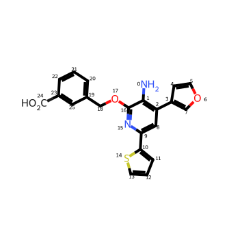 Nc1c(-c2ccoc2)cc(-c2cccs2)nc1OCc1cccc(C(=O)O)c1